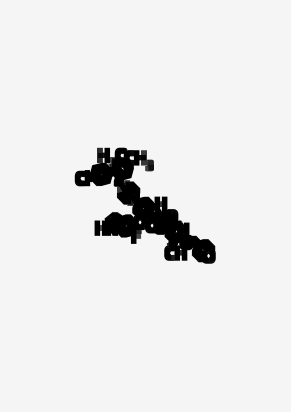 C#Cc1cc(S(=O)(=O)NC(=O)c2ccc(N3CCN(CC4=C(c5ccc(Cl)cc5)CC(C)(C)CC4)CC3)cc2Oc2cc3cc[nH]c3cc2F)cnc1OCC1CCOCC1